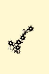 Cc1c(N(Cc2ccccc2)Cc2ccc(Oc3ccc(CCC(=O)OCc4ccccc4)cc3)cc2)cccc1[N+](=O)[O-]